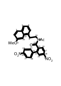 COc1ccc2cccc(CCN(C(C)=O)C(=O)c3ccc([N+](=O)[O-])cc3-c3ccc([N+](=O)[O-])cc3)c2c1